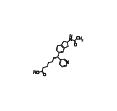 CC(=O)NC1Cc2ccc(/C(=C/CCCCC(=O)O)c3cccnc3)cc2C1